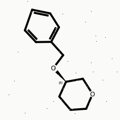 c1ccc(CO[C@@H]2CCCOC2)cc1